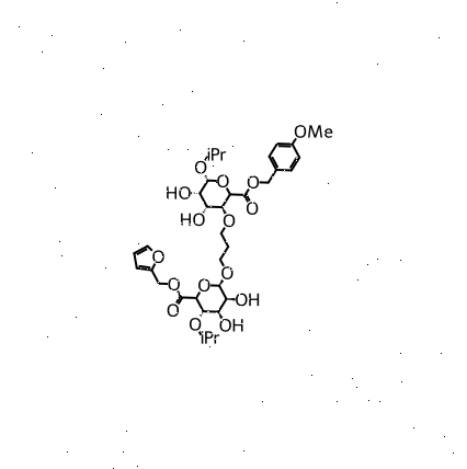 COc1ccc(COC(=O)C2O[C@@H](OC(C)C)[C@@H](O)[C@@H](O)[C@@H]2OCCCO[C@@H]2OC(C(=O)OCc3ccco3)[C@@H](OC(C)C)[C@H](O)[C@@H]2O)cc1